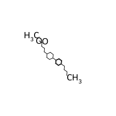 CCCCCc1ccc(C2CCC(CCCC(=O)OCC)CC2)cc1